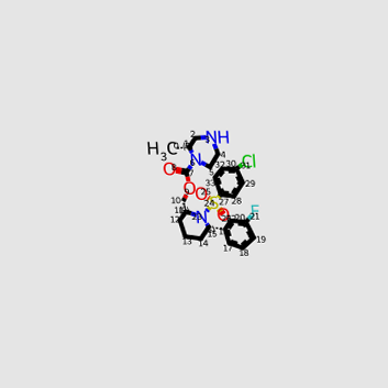 C[C@@H]1CNCCN1C(=O)OC[C@H]1CCC[C@@H](c2cccc(F)c2)N1S(=O)(=O)c1ccc(Cl)cc1